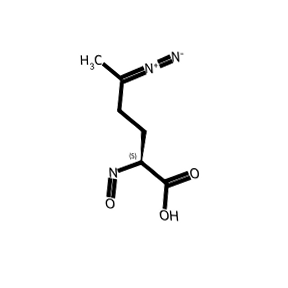 CC(CC[C@H](N=O)C(=O)O)=[N+]=[N-]